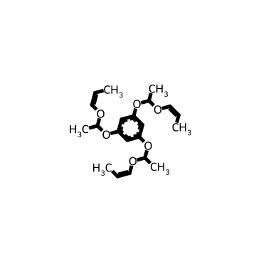 C/C=C\OC(C)Oc1cc(OC(C)O/C=C\C)cc(OC(C)O/C=C\C)c1